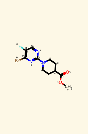 COC(=O)C1CCN(c2ncc(F)c(Br)n2)CC1